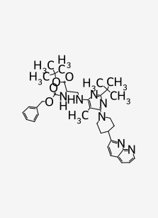 Cc1c(NCC(NC(=O)OCc2ccccc2)C(=O)OC(C)(C)C)nc(C(C)(C)C)nc1N1CCC(c2ccc3cccnc3n2)CC1